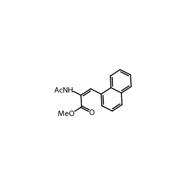 COC(=O)C(=Cc1cccc2ccccc12)NC(C)=O